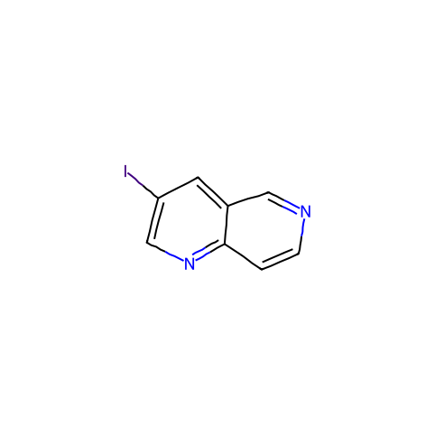 Ic1cnc2ccncc2c1